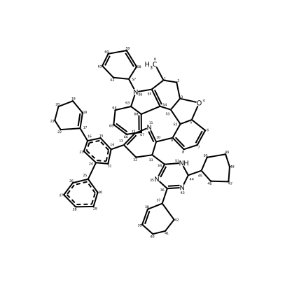 CC1CC2OC3C=CC=C(C4=NC=C(c5cc(C6=CCCCC6)cc(-c6ccccc6)c5)CC4C4=NC(C5C=CCCC5)=NC(C5CCCCC5)N4)C3C2C2=C1N(C1C=CC=CC1)C1CC=CC=C21